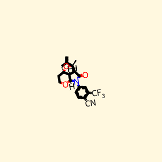 C=C1C[C@@]23CCO[C@H]4[C@@H]2[C@H](C(=O)N4c2ccc(C#N)c(C(F)(F)F)c2)[C@]1(C)O3